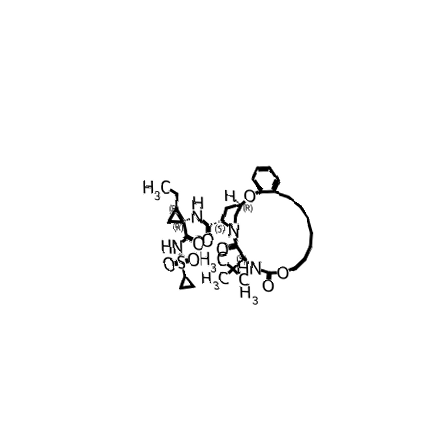 CC[C@@H]1C[C@]1(NC(=O)[C@@H]1C[C@@H]2CN1C(=O)[C@H](C(C)(C)C)NC(=O)OCCCCCCCc1ccccc1O2)C(=O)NS(=O)(=O)C1CC1